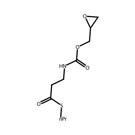 CCCSC(=O)CCNC(=O)OCC1CO1